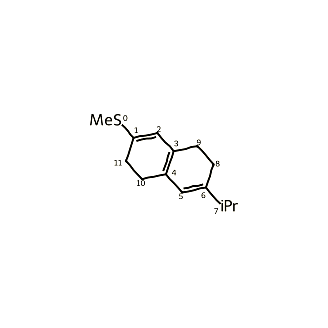 CSC1=CC2=C(C=C(C(C)C)CC2)CC1